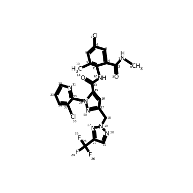 CNC(=O)c1cc(Cl)cc(C)c1NC(=O)c1cc(Cn2ncc(C(F)(F)F)n2)nn1-c1ncccc1Cl